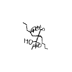 CCCC(O)CC(CC(O)CCC)(C(=O)O)C(=O)O